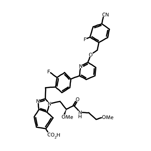 COCCNC(=O)[C@H](Cn1c(Cc2ccc(-c3cccc(OCc4ccc(C#N)cc4F)n3)cc2F)nc2ccc(C(=O)O)cc21)OC